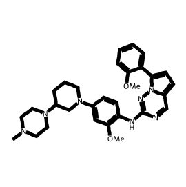 COc1cc(N2CCCC(N3CCN(C)CC3)C2)ccc1Nc1ncc2ccc(-c3ccccc3OC)n2n1